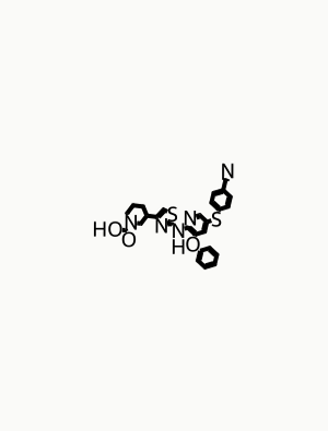 N#Cc1ccc(Sc2cnc(Nc3nc(C4CCCN(C(=O)O)C4)cs3)c(Oc3ccccc3)c2)cc1